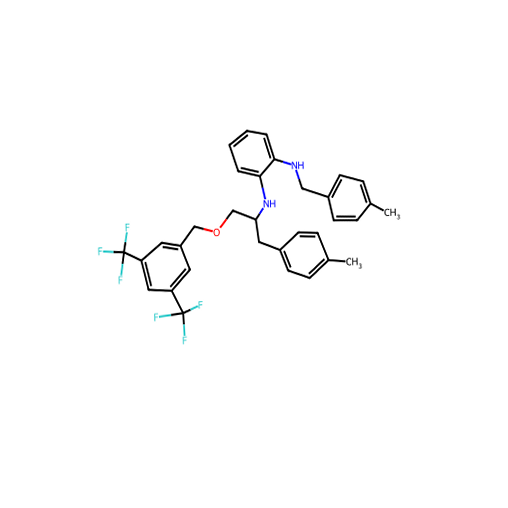 Cc1ccc(CNc2ccccc2NC(COCc2cc(C(F)(F)F)cc(C(F)(F)F)c2)Cc2ccc(C)cc2)cc1